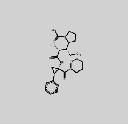 CO[C@H]([C@@H](C)C(=O)N[C@@]1(C(=O)N2CCCCO2)C[C@@H]1c1ccccc1)[C@@H]1CCCN1C(=O)O